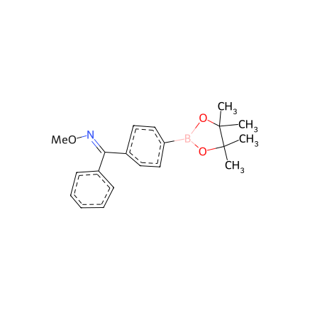 CO/N=C(\c1ccccc1)c1ccc(B2OC(C)(C)C(C)(C)O2)cc1